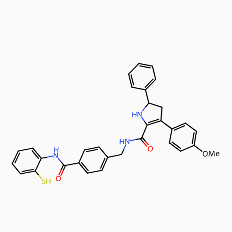 COc1ccc(C2=C(C(=O)NCc3ccc(C(=O)Nc4ccccc4S)cc3)NC(c3ccccc3)C2)cc1